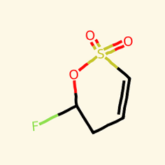 O=S1(=O)C=CCC(F)O1